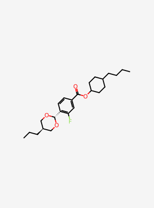 CCCCC1CCC(OC(=O)c2ccc([C@H]3OC[C@H](CCC)CO3)c(F)c2)CC1